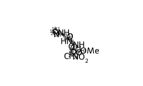 COC(=O)CC(NC(=O)CNC(=O)CCCNc1ccccn1)c1ccc(Cl)c([N+](=O)[O-])c1